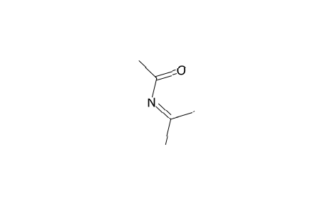 CC(=O)N=C(C)C